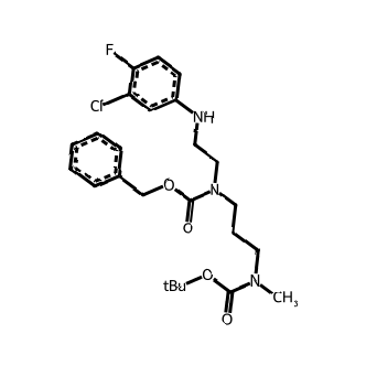 CN(CCCN(CCNc1ccc(F)c(Cl)c1)C(=O)OCc1ccccc1)C(=O)OC(C)(C)C